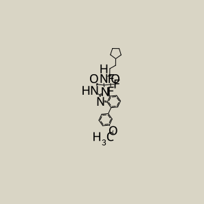 COc1cccc(-c2cccc3c2nc2n3C(NC(=O)CCC3CCCC3)(C(F)(F)F)C(=O)N2)c1